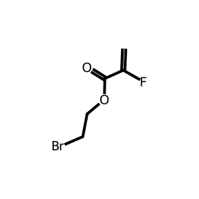 C=C(F)C(=O)OCCBr